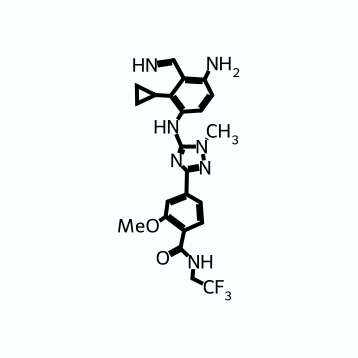 COc1cc(-c2nc(Nc3ccc(N)c(C=N)c3C3CC3)n(C)n2)ccc1C(=O)NCC(F)(F)F